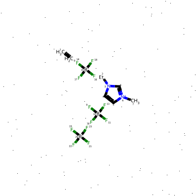 C=C.CCn1cc[n+](C)c1.F[B-](F)(F)F.F[B-](F)(F)F.F[B-](F)(F)F